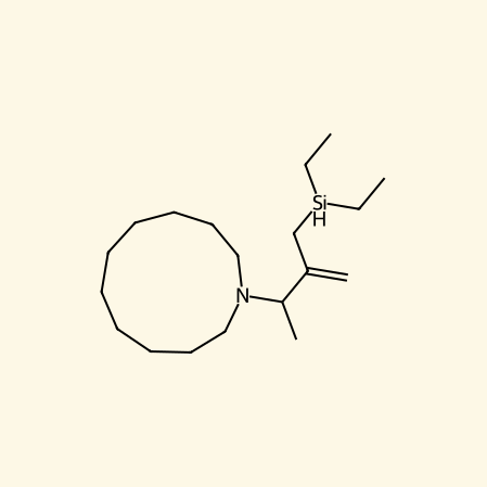 C=C(C[SiH](CC)CC)C(C)N1CCCCCCCCCC1